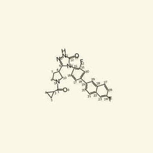 O=C(C1CC1)N1CCC(c2n[nH]c(=O)n2-c2ccc(-c3ccc4cc(F)ccc4c3)cc2F)C1